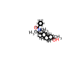 C[C@H]([C@H]1CCC2[C@@H]3CC[C@@H]4C[C@](C)(O)CC[C@@H]4C3CC[C@@]21C)N(C)C(=O)c1ccccc1